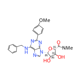 CNC(=O)[C@H]1O[C@@H](n2cnc3c(NCc4ccccc4)nc(-c4ccc(OC)cc4)nc32)[C@H](O)[C@@H]1O